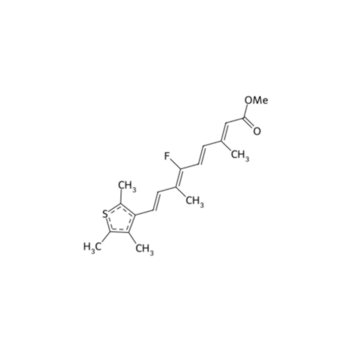 COC(=O)/C=C(C)/C=C/C(F)=C(C)/C=C/c1c(C)sc(C)c1C